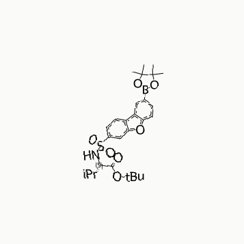 CC(C)[C@H](NS(=O)(=O)c1ccc2c(c1)oc1ccc(B3OC(C)(C)C(C)(C)O3)cc12)C(=O)OC(C)(C)C